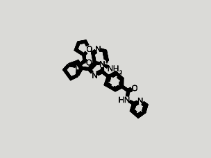 N[N+]12C=CN=CC1=C(C1CC3CCC1N3C(=O)C1CCCO1)N=C2c1ccc(C(=O)Nc2ccccn2)cc1